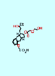 CC[C@H](O)CC[C@@H]1[C@H]2Cc3cccc(OCC(=O)O)c3C[C@H]2C[C@H]1OC(=O)COCCO